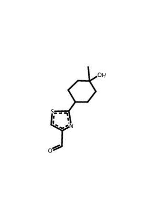 CC1(O)CCC(c2nc(C=O)cs2)CC1